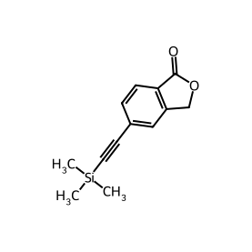 C[Si](C)(C)C#Cc1ccc2c(c1)COC2=O